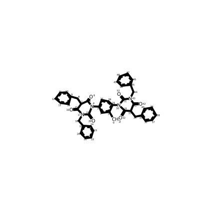 Cc1cc(N2C(=O)C(Cc3ccccc3)C(=O)N(Cc3ccccc3)C2=O)ccc1N1C(=O)C(Cc2ccccc2)C(=O)N(Cc2ccccc2)C1=O